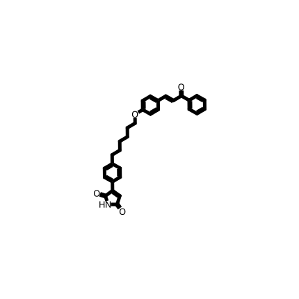 O=C1C=C(c2ccc(CCCCCCOc3ccc(C=CC(=O)c4ccccc4)cc3)cc2)C(=O)N1